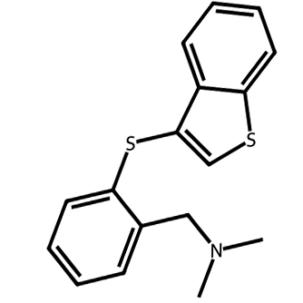 CN(C)Cc1ccccc1Sc1csc2ccccc12